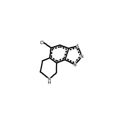 Clc1cc2snnc2c2c1CCNC2